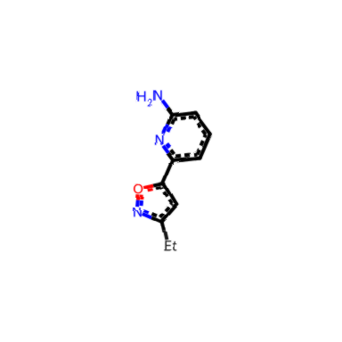 CCc1cc(-c2cccc(N)n2)on1